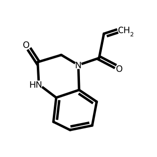 C=CC(=O)N1CC(=O)Nc2ccccc21